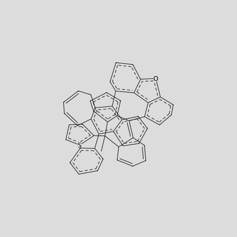 CC1(c2cccs2)c2ccccc2C(c2cccc3oc4cccc(-c5c6c(c(-c7ccccc7)c7ccccc57)C=CC=CC6)c4c23)=C2C=CC=CC21